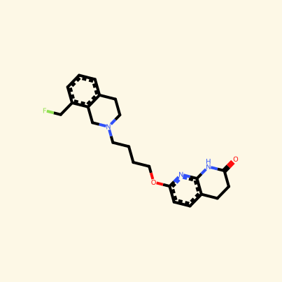 O=C1CCc2ccc(OCCCCN3CCc4cccc(CF)c4C3)nc2N1